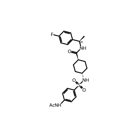 CC(=O)Nc1ccc(S(=O)(=O)N[C@H]2CC[C@H](C(=O)N[C@H](C)c3ccc(F)cc3)CC2)cc1